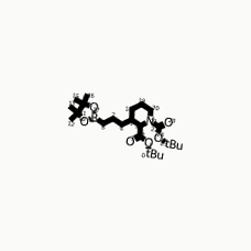 CC(C)(C)OC(=O)C1C(CCCB2OC(C)(C)C(C)(C)O2)CCCN1C(=O)OC(C)(C)C